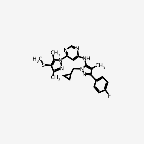 CSc1c(C)nn(-c2cc(Nc3c(C)c(-c4ccc(F)cc4)nn3CC3CC3)ncn2)c1C